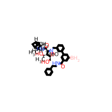 Bc1cc(C(=O)NCCc2ccccc2)cc(-c2cccc(CN3O[C@@H](CO)[C@H]([C@H](C)O)[C@H]3C(=O)N[C@H]3C[C@H]4C[C@@H]([C@@H]3C)C4(C)C)c2OC)c1